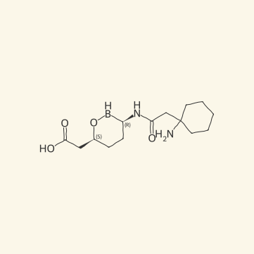 NC1(CC(=O)N[C@@H]2BO[C@H](CC(=O)O)CC2)CCCCC1